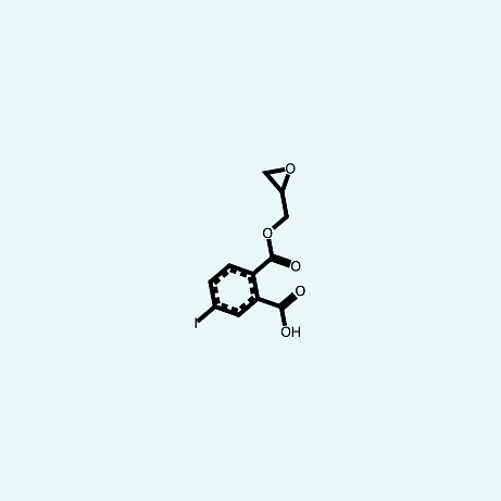 O=C(O)c1cc(I)ccc1C(=O)OCC1CO1